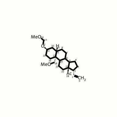 C=C[C@H]1CCC2C3CC[C@H]4C[C@H](OCOC)CC[C@]4(COC)C3CC[C@]21C(C)=O